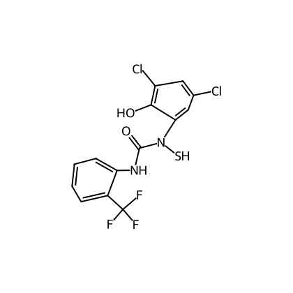 O=C(Nc1ccccc1C(F)(F)F)N(S)c1cc(Cl)cc(Cl)c1O